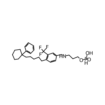 O=[PH](O)OCCCNCc1ccc(CCCCCC2(c3ccccc3)CCCCC2)c(C(F)(F)F)c1